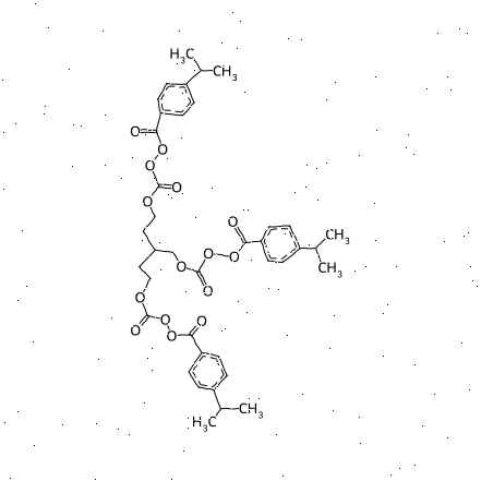 CC(C)c1ccc(C(=O)OOC(=O)OCCC(CCOC(=O)OOC(=O)c2ccc(C(C)C)cc2)COC(=O)OOC(=O)c2ccc(C(C)C)cc2)cc1